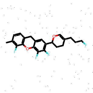 Cc1ccc2c(c1F)Oc1c(cc(C3CCC(CCCF)=CO3)c(F)c1F)C2